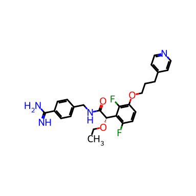 CCO[C@H](C(=O)NCc1ccc(C(=N)N)cc1)c1c(F)ccc(OCCCc2ccncc2)c1F